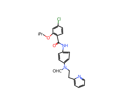 CC(C)Oc1cc(Cl)ccc1C(=O)Nc1ccc(N(C=O)CCc2ccccn2)cc1